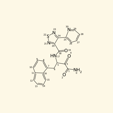 NC(=O)C(=O)C(Cc1cccc2ccccc12)NC(=O)c1nsnc1-c1ccccn1